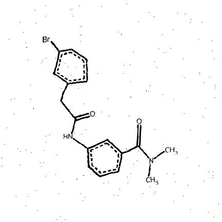 CN(C)C(=O)c1cccc(NC(=O)Cc2cccc(Br)c2)c1